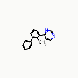 Cc1c(-c2ccccc2)cccc1-c1ccncn1